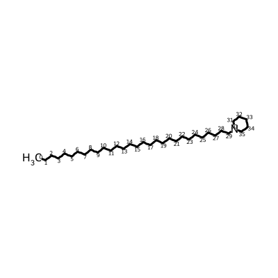 CCCCCCCCCCCCCCCCCCCCCCCCCCCCCCN1CCCCC1